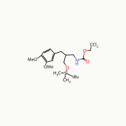 COc1ccc(CC(CNC(=O)OCC(Cl)(Cl)Cl)CO[Si](C)(C)C(C)(C)C)cc1OC